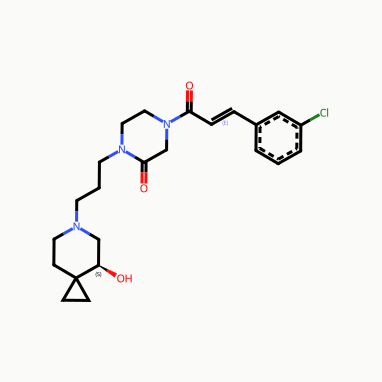 O=C(/C=C/c1cccc(Cl)c1)N1CCN(CCCN2CCC3(CC3)[C@H](O)C2)C(=O)C1